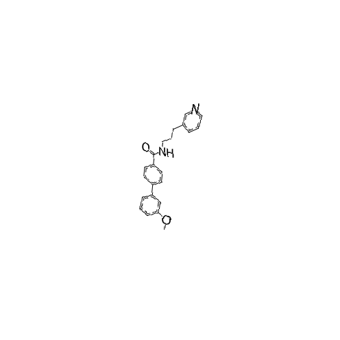 COc1cccc(-c2ccc(C(=O)NCCCc3cccnc3)cc2)c1